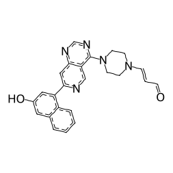 O=CC=CN1CCN(c2ncnc3cc(-c4cc(O)cc5ccccc45)ncc23)CC1